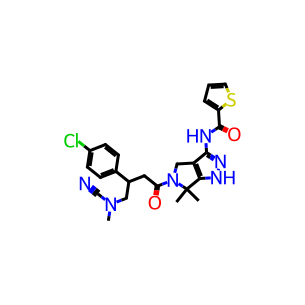 CN(C#N)CC(CC(=O)N1Cc2c(NC(=O)c3cccs3)n[nH]c2C1(C)C)c1ccc(Cl)cc1